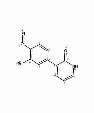 CCOc1ccc(-c2ccc[nH]c2=O)cc1C(C)(C)C